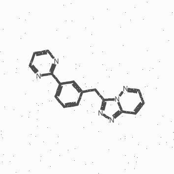 c1cnc(-c2cccc(Cc3nnc4cccnn34)c2)nc1